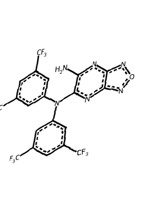 Nc1nc2nonc2nc1N(c1cc(C(F)(F)F)cc(C(F)(F)F)c1)c1cc(C(F)(F)F)cc(C(F)(F)F)c1